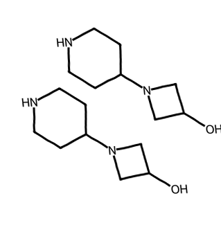 OC1CN(C2CCNCC2)C1.OC1CN(C2CCNCC2)C1